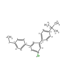 CCc1ccc(-c2cc(Br)cc(-c3ccc(C(C)(C)C)cc3)c2)cc1